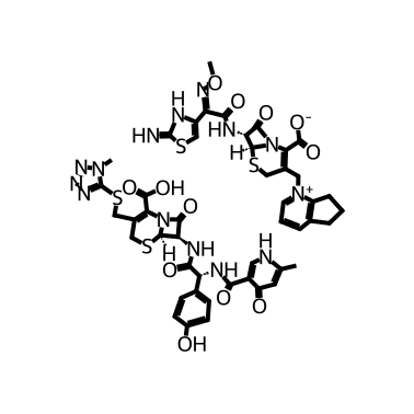 CO/N=C(\C(=O)N[C@@H]1C(=O)N2C(C(=O)[O-])=C(C[n+]3cccc4c3CCC4)CS[C@@H]12)c1csc(=N)[nH]1.Cc1cc(=O)c(C(=O)N[C@@H](C(=O)N[C@@H]2C(=O)N3C(C(=O)O)=C(CSc4nnnn4C)CS[C@H]23)c2ccc(O)cc2)c[nH]1